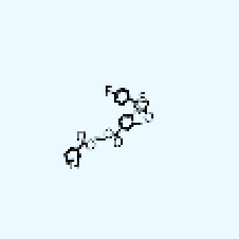 Cc1cc(C(=O)OCCOC(=O)c2cccnc2)ccc1N1C(=O)CSC1c1ccc(F)cc1